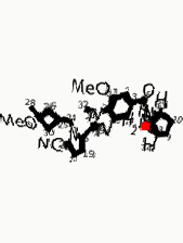 COc1cc(C(=O)N2C[C@H]3CC[C@@H]2[C@@H]3N)cc2nc(-c3ccc(C#N)n3CC3CC(C)(OC)C3)n(C)c12